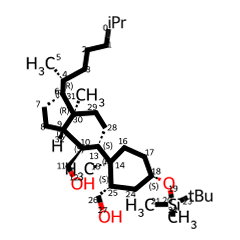 CC(C)CCC[C@@H](C)[C@H]1CC[C@H]2[C@H](CO)[C@@H]([C@@]3(C)CC[C@H](O[Si](C)(C)C(C)(C)C)C[C@@H]3CO)CC[C@]12C